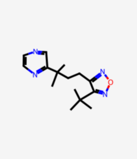 CC(C)(C)c1nonc1CCC(C)(C)c1cnccn1